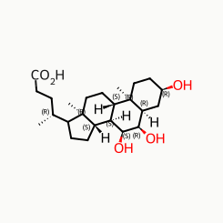 C[C@H](CCC(=O)O)C1CC[C@H]2[C@@H]3[C@H](O)[C@H](O)[C@@H]4C[C@H](O)CC[C@]4(C)[C@H]3CC[C@]12C